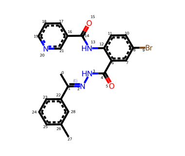 C/C(=N\NC(=O)c1cc(Br)ccc1NC(=O)c1cccnc1)c1cccc(C)c1